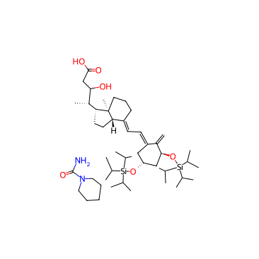 C=C1/C(=C/C=C2CCC[C@]3(C)[C@@H]([C@H](C)C(O)CC(=O)O)CC[C@@H]23)C[C@@H](O[Si](C(C)C)(C(C)C)C(C)C)C[C@@H]1O[Si](C(C)C)(C(C)C)C(C)C.NC(=O)N1CCCCC1